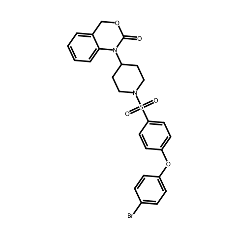 O=C1OCc2ccccc2N1C1CCN(S(=O)(=O)c2ccc(Oc3ccc(Br)cc3)cc2)CC1